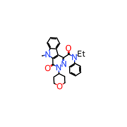 CCN(C(=O)c1nn(C2CCOCC2)c(=O)c2c1c1ccccc1n2C)c1ccccc1